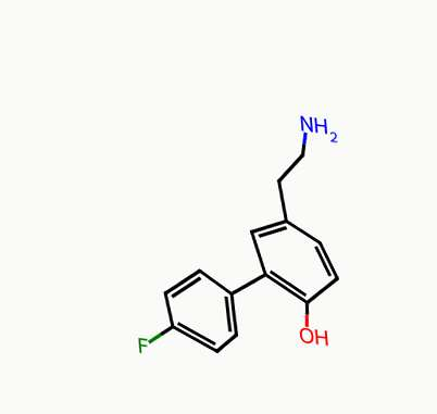 NCCc1ccc(O)c(-c2ccc(F)cc2)c1